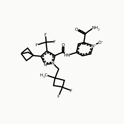 CC1(Cn2nc(C34CC(C3)C4)c(C(F)(F)F)c2C(=O)Nc2cc[n+]([O-])c(C(N)=O)c2)CC(F)(F)C1